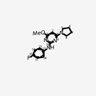 COc1cc(N2CCCC2)nc(Nc2ccc(F)cc2)n1